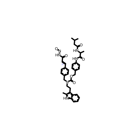 Cc1[nH]c2ccccc2c1CCN(Cc1ccc(/C=C/C(=O)NN=O)cc1)C(=O)OCc1ccc(NC(=O)C(C)NC(=O)CC(C)C)cc1